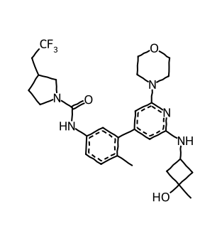 Cc1ccc(NC(=O)N2CCC(CC(F)(F)F)C2)cc1-c1cc(NC2CC(C)(O)C2)nc(N2CCOCC2)c1